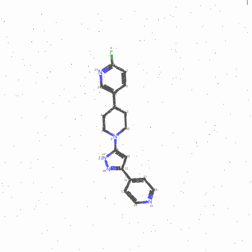 Fc1ccc(C2CCN(c3cc(-c4ccncc4)n[nH]3)CC2)cn1